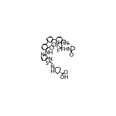 O=C1CC[C@@H](CNCc2ccc(-c3cccc(-c4cccc(Nc5nccc6sc(CN[C@H]7CC[C@H](C(=O)O)CC7)nc56)c4Cl)c3Cl)nc2CC(F)(F)F)N1